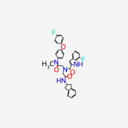 CN(C(=O)CN(CC(=O)NC1Cc2ccccc2C1)C(=O)c1cc2cccc(F)c2[nH]1)c1ccc(Oc2ccc(F)cc2)cc1